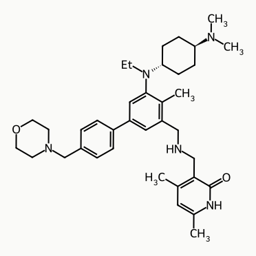 CCN(c1cc(-c2ccc(CN3CCOCC3)cc2)cc(CNCc2c(C)cc(C)[nH]c2=O)c1C)[C@H]1CC[C@H](N(C)C)CC1